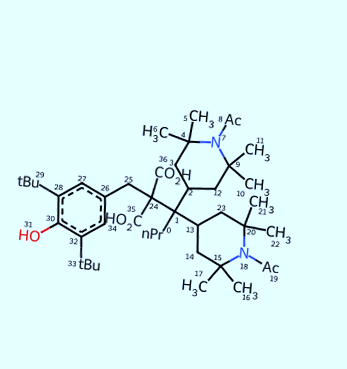 CCCC(C1CC(C)(C)N(C(C)=O)C(C)(C)C1)(C1CC(C)(C)N(C(C)=O)C(C)(C)C1)C(Cc1cc(C(C)(C)C)c(O)c(C(C)(C)C)c1)(C(=O)O)C(=O)O